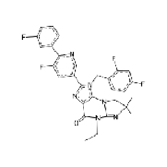 CCN1C(=O)c2nc(-c3cnc(-c4cccc(F)c4)c(F)c3)n(Cc3ccc(F)cc3F)c2N2CC(C)(C)N=C12